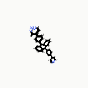 CC1=CNCC=C1c1ccc(-c2c3ccccc3c(-c3ccc(-c4ccncc4)cc3)c3ccccc23)cc1